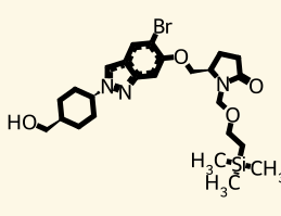 C[Si](C)(C)CCOCN1C(=O)CC[C@@H]1COc1cc2nn([C@H]3CC[C@H](CO)CC3)cc2cc1Br